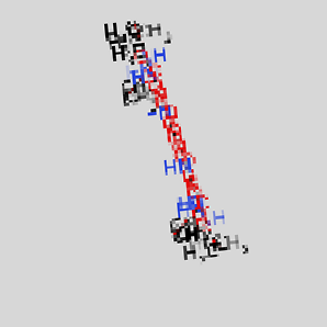 CC1=C(/C=C/C(C)=C/C=C/C(C)=C/C(=O)NCCCC[C@H](NC(=O)CCCCCCCCC2=C(C)CCCC2(C)C)C(=O)NCCCOCCOCCOCCCNC(=O)CCOCCOCCOCCOCCOCCC(=O)NCCCOCCOCCOCCCNC(=O)[C@H](CCCCNC(=O)CCCCCCCCC2=C(C)CCCC2(C)C)NC(=O)CCCCCCCCC2=C(C)CCCC2(C)C)C(C)(C)CCC1